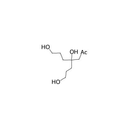 CC(=O)CC(O)(CCCO)CCCO